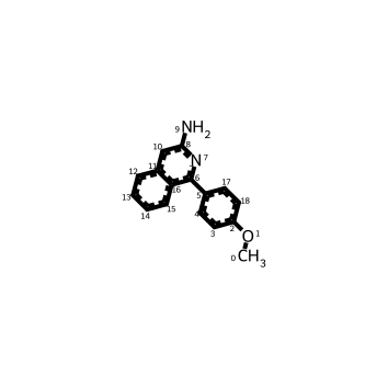 COc1ccc(-c2nc(N)cc3ccccc23)cc1